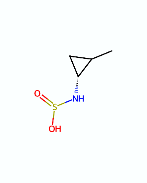 CC1C[C@H]1NS(=O)O